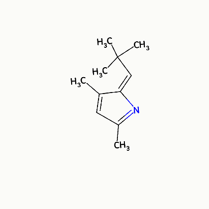 CC1=CC(C)=N/C1=C/C(C)(C)C